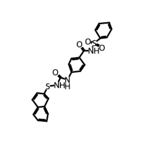 O=C(NSc1ccc2ccccc2c1)Nc1ccc(C(=O)NS(=O)(=O)c2ccccc2)cc1